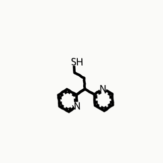 SCCC(c1ccccn1)c1ccccn1